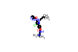 CC(C)CCCCn1nc(NC(=O)c2cccnc2)c2cc(Cl)c(-c3ccc(OC(=O)NCCN(C)C)cc3)nc21